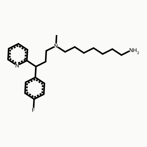 CN(CCCCCCCN)CCC(c1ccc(F)cc1)c1ccccn1